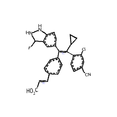 N#Cc1ccc(/C(=C(\c2ccc(/C=C/C(=O)O)cc2)c2ccc3c(c2)C(F)NN3)C2CC2)c(Cl)c1